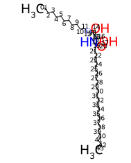 CCCCCCCCCCC/C=C/[C@@H](O)[C@H](CO)NC(=O)CCCCCCCCCCCCCCCCCCCCCCC